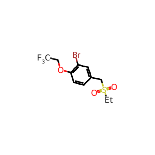 CCS(=O)(=O)Cc1ccc(OCC(F)(F)F)c(Br)c1